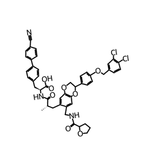 C[C@@H](Cc1cc2c(cc1CNC(=O)C1CCCO1)OC(c1ccc(OCc3ccc(Cl)c(Cl)c3)cc1)CO2)C(=O)N[C@@H](Cc1ccc(-c2ccc(C#N)cc2)cc1)C(=O)O